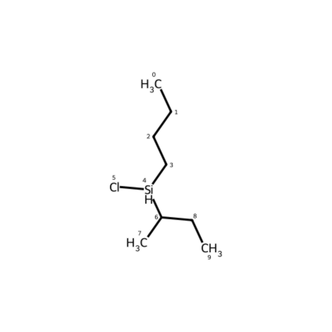 CCCC[SiH](Cl)C(C)CC